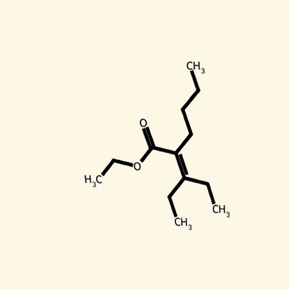 CCCCC(C(=O)OCC)=C(CC)CC